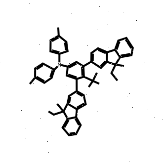 CCC1(C)c2ccccc2-c2ccc(-c3cc(N(c4ccc(C)cc4)c4ccc(C)cc4)cc(-c4ccc5c(c4)C(C)(CC)c4ccccc4-5)c3C(C)(C)C)cc21